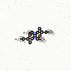 CC(C)(C)c1ccc(-c2cc(-c3ccccc3)c(-c3ccc4c(c3)c3c5c6cc(C(C)(C)C)ccc6n6c7ccc(-c8c(-c9ccccc9)cc(-c9ccc(C(C)(C)C)cc9)cc8-c8ccccc8)cc7c(c7c8cc(C(C)(C)C)ccc8n4c37)c56)c(-c3ccccc3)c2)cc1